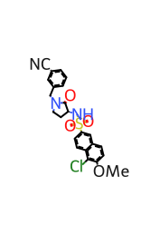 COc1ccc2cc(S(=O)(=O)N[C@H]3CCN(Cc4cccc(C#N)c4)C3=O)ccc2c1Cl